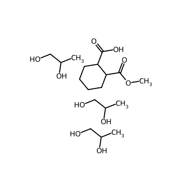 CC(O)CO.CC(O)CO.CC(O)CO.COC(=O)C1CCCCC1C(=O)O